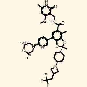 CSc1cc(C)[nH]c(=O)c1CNC(=O)c1cc(-c2ccc(N3C[C@@H](C)O[C@@H](C)C3)nc2)c2c(c1C)OC(C)([C@H]1CC[C@H](N3CC(CC(F)(F)F)C3)CC1)O2